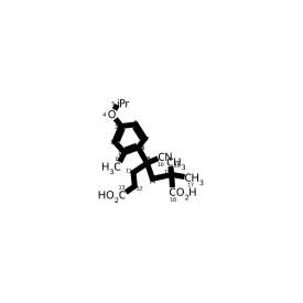 Cc1cc(OC(C)C)ccc1C(C#N)(CCC(=O)O)CC(C)(C)C(=O)O